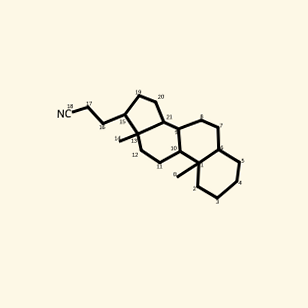 CC12CCCCC1CCC1C2CCC2(C)C(CCC#N)CCC12